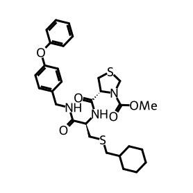 COC(=O)N1CSC[C@H]1C(=O)N[C@@H](CSCC1CCCCC1)C(=O)NCc1ccc(Oc2ccccc2)cc1